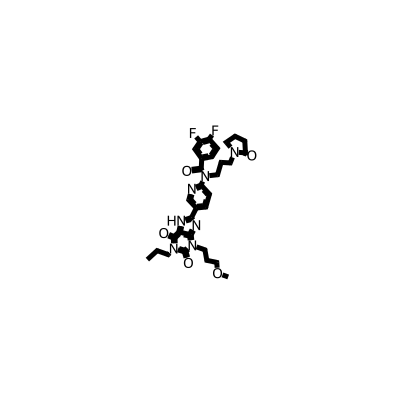 CCCn1c(=O)c2[nH]c(-c3ccc(N(CCCN4CCCC4=O)C(=O)c4ccc(F)c(F)c4)nc3)nc2n(CCCOC)c1=O